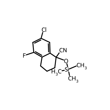 C[Si](C)(C)OC1(C#N)CCCc2c(F)cc(Cl)cc21